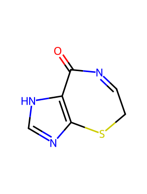 O=C1N=CCSc2nc[nH]c21